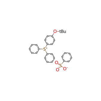 CC(C)(C)Oc1ccc([S+](c2ccccc2)c2ccccc2)cc1.O=S(=O)([O-])c1ccccc1